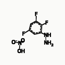 NNc1cc(F)cc(F)c1F.O=[N+]([O-])O